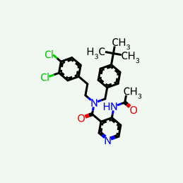 CC(=O)Nc1ccncc1C(=O)N(CCc1ccc(Cl)c(Cl)c1)Cc1ccc(C(C)(C)C)cc1